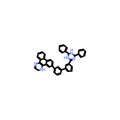 C1=Nc2c(c3cc(-c4cccc(-c5cccc(C6=NC(c7ccccc7)NC(c7ccccc7)N6)c5)c4)ccc3c3ccccc23)NC1